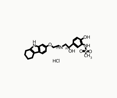 CS(=O)(=O)Nc1cc([C@@H](O)CNCCOc2ccc3c4c([nH]c3c2)CCCC4)ccc1O.Cl